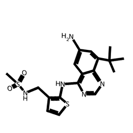 CC(C)(C)c1cc(N)cc2c(Nc3sccc3CNS(C)(=O)=O)ncnc12